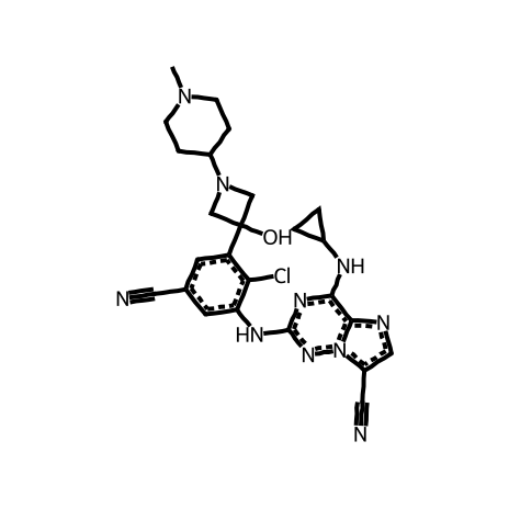 CN1CCC(N2CC(O)(c3cc(C#N)cc(Nc4nc(NC5CC5)c5ncc(C#N)n5n4)c3Cl)C2)CC1